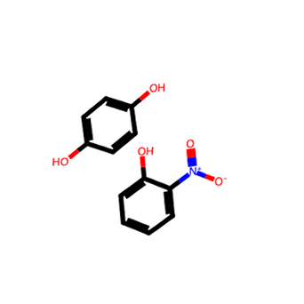 O=[N+]([O-])c1ccccc1O.Oc1ccc(O)cc1